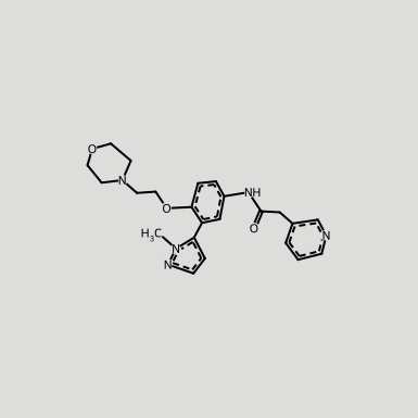 Cn1nccc1-c1cc(NC(=O)Cc2cccnc2)ccc1OCCN1CCOCC1